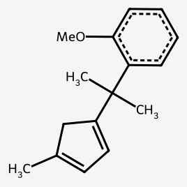 COc1ccccc1C(C)(C)C1=CC=C(C)C1